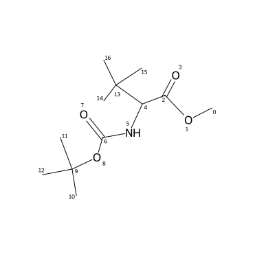 COC(=O)C(NC(=O)OC(C)(C)C)C(C)(C)C